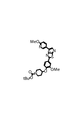 COc1ccc(-c2cnc3sc(-c4ccc(OC5CCN(C(=O)OC(C)(C)C)CC5)c(OC)c4)nn23)cn1